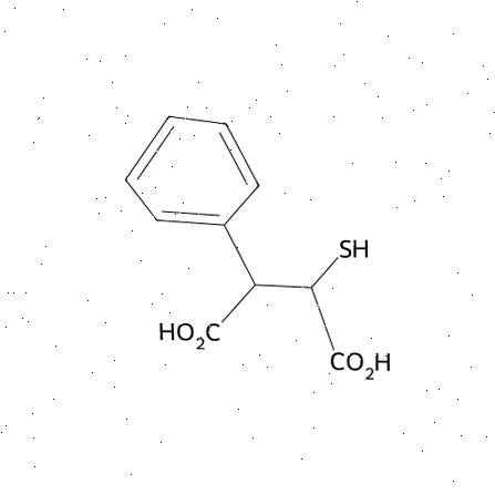 O=C(O)C(S)C(C(=O)O)c1ccccc1